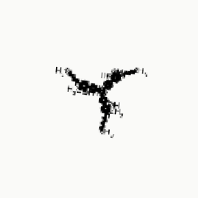 CCCCCCOc1ccc(-c2ccc(-c3nc(-c4ccc(-c5ccc(OCCCCCC)c(C)c5O)cc4)nc(-c4ccc(-c5ccc(OCCCCCC)c(C)c5O)cc4)n3)cc2)c(O)c1C